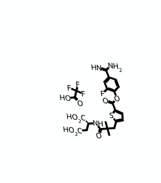 CC(C)(Cc1ccc(C(=O)Oc2ccc(C(=N)N)cc2F)s1)C(=O)N[C@@H](CC(=O)O)C(=O)O.O=C(O)C(F)(F)F